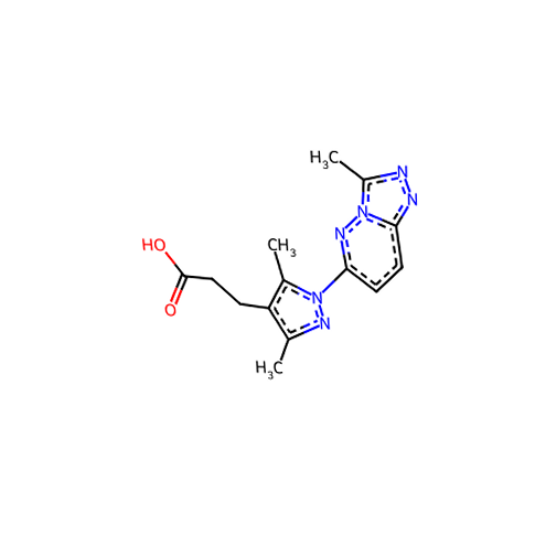 Cc1nn(-c2ccc3nnc(C)n3n2)c(C)c1CCC(=O)O